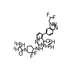 [2H]C([2H])([2H])Oc1nc(N[C@@H]2CCN(C(=O)C([2H])([2H])[2H])CC2(F)F)nn2ccc(-c3ccc4nnn(CC(F)F)c4c3)c12